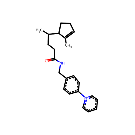 CC1=CCCC1C(C)CCC(=O)NCc1ccc(-[n+]2ccccc2)cc1